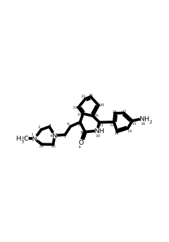 CN1CCN(CCC2C(=O)NC(c3ccc(N)cc3)c3ccccc32)CC1